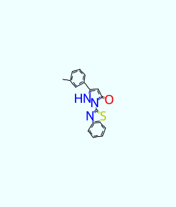 Cc1cccc(-c2cc(=O)n(-c3nc4ccccc4s3)[nH]2)c1